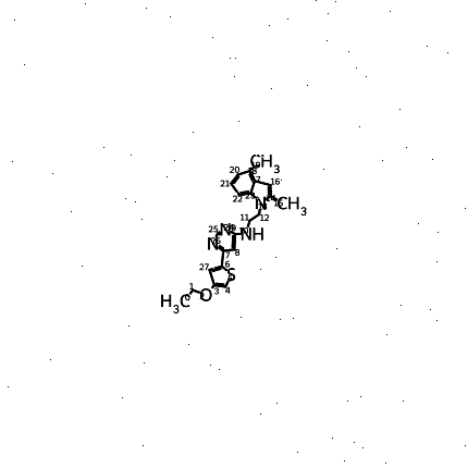 CCOc1csc(-c2cc(NCCn3c(C)cc4c(C)cccc43)ncn2)c1